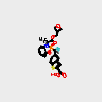 C[C@H](NP(=O)(Oc1ccccc1)[C@@H](F)c1ccc2sc(C(=O)O)cc2c1)C(=O)OCC1COC1